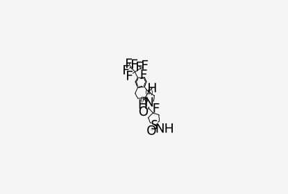 N=S1(=O)CCC(F)(C(=O)N2CC[C@H]3c4ccc(C(F)(C(F)(F)F)C(F)(F)F)cc4CC[C@H]32)CC1